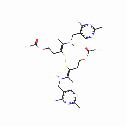 C/C(=C(\CCOC(=O)C(C)C)SS/C(CCOC(=O)C(C)C)=C(/C)N(C=O)Cc1cnc(C)nc1N)N(C=O)Cc1cnc(C)nc1N